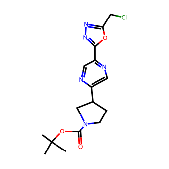 CC(C)(C)OC(=O)N1CCC(c2cnc(-c3nnc(CCl)o3)cn2)C1